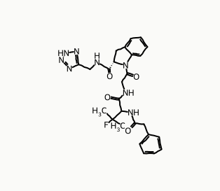 CC(C)(F)C(NC(=O)Cc1ccccc1)C(=O)NCC(=O)N1c2ccccc2C[C@H]1C(=O)NCc1nn[nH]n1